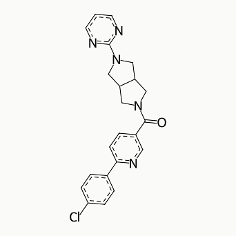 O=C(c1ccc(-c2ccc(Cl)cc2)nc1)N1CC2CN(c3ncccn3)CC2C1